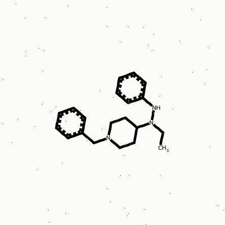 CCN(Nc1ccccc1)C1CCN(Cc2ccccc2)CC1